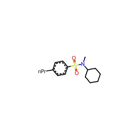 CCCc1ccc(S(=O)(=O)N(C)C2CCCCC2)cc1